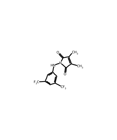 CC1=C(C)C(=O)N(Nc2cc(C(F)(F)F)cc(C(F)(F)F)c2)C1=O